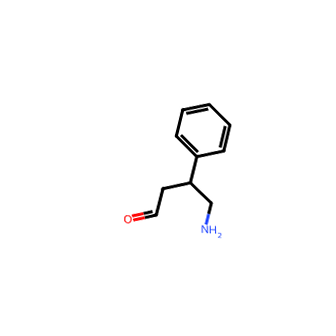 NCC(CC=O)c1ccccc1